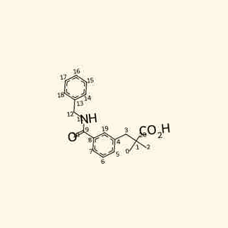 CC(C)(Cc1cccc(C(=O)NCc2ccccc2)c1)C(=O)O